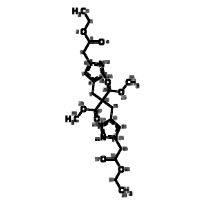 CCOC(=O)Cn1cc(CC(Cc2cn(CC(=O)OCC)nn2)(C(=O)OC)C(=O)OC)nn1